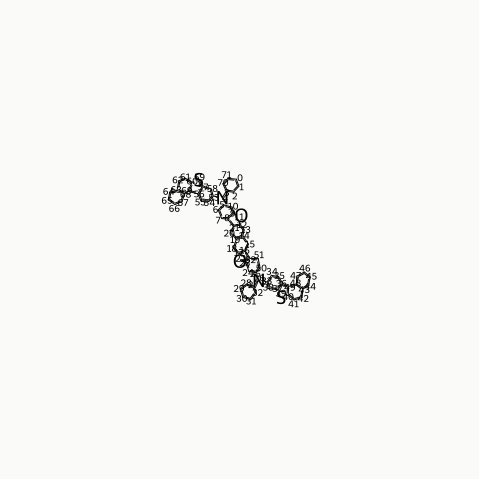 c1ccc(N(c2ccc3c(c2)oc2cc4cc5c(cc4cc23)oc2cc(N(c3ccccc3)c3ccc4c(c3)sc3ccc6ccccc6c34)ccc25)c2ccc3c(c2)sc2ccc4ccccc4c23)cc1